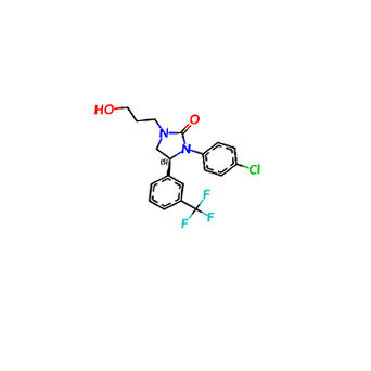 O=C1N(CCCO)C[C@H](c2cccc(C(F)(F)F)c2)N1c1ccc(Cl)cc1